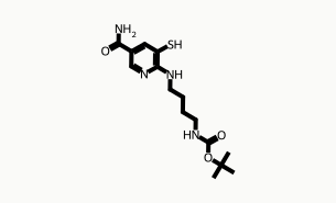 CC(C)(C)OC(=O)NCCCCNc1ncc(C(N)=O)cc1S